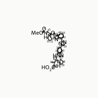 COC(=O)N[C@@H](C)C(=O)N1CCC[C@H]1c1nc2c(-c3ncc(-c4ccc5[nH]c([C@@H]6CCCN6C(=O)[C@H](C)NC(=O)O)nc5c4)o3)cccc2[nH]1